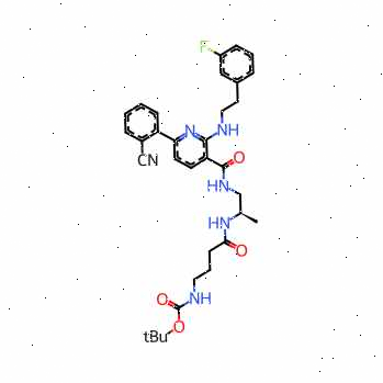 C[C@H](CNC(=O)c1ccc(-c2ccccc2C#N)nc1NCCc1cccc(F)c1)NC(=O)CCCNC(=O)OC(C)(C)C